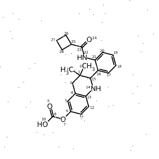 CC1(C)Cc2cc(OC(=O)O)ccc2NC1c1ccccc1NC(=O)C1CCC1